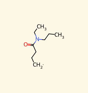 [CH2]CCC(=O)N(CC)CCC